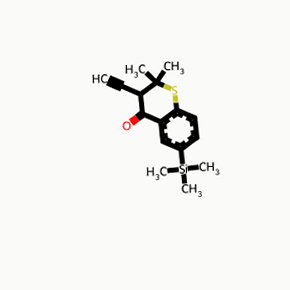 C#CC1C(=O)c2cc([Si](C)(C)C)ccc2SC1(C)C